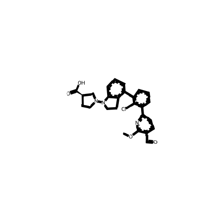 COc1nc(-c2cccc(-c3cccc4c3CCN4N3CC[C@@H](C(=O)O)C3)c2Cl)ccc1C=O